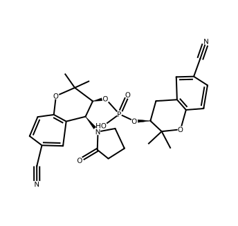 CC1(C)Oc2ccc(C#N)cc2C[C@@H]1OP(=O)(O)O[C@H]1[C@@H](N2CCCC2=O)c2cc(C#N)ccc2OC1(C)C